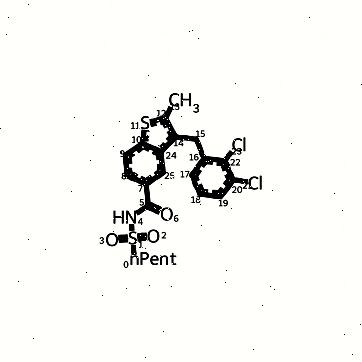 CCCCCS(=O)(=O)NC(=O)c1ccc2sc(C)c(Cc3cccc(Cl)c3Cl)c2c1